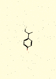 CC(C[N+](=O)[O-])c1ccc(Br)cc1